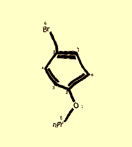 [CH2]CCOc1ccc(Br)cc1